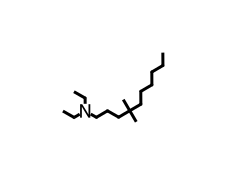 CCCCCCC(C)(C)CCCN(CC)CC